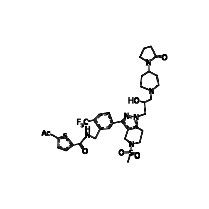 CC(=O)c1ccc(C(=O)NCc2cc(-c3nn(CC(O)CN4CCC(N5CCCC5=O)CC4)c4c3CN(S(C)(=O)=O)CC4)ccc2C(F)(F)F)s1